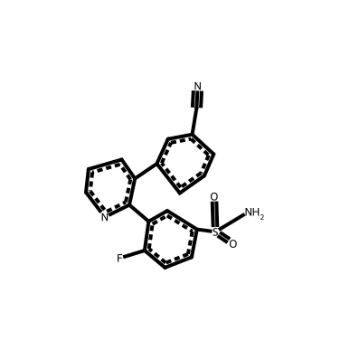 N#Cc1cccc(-c2cccnc2-c2cc(S(N)(=O)=O)ccc2F)c1